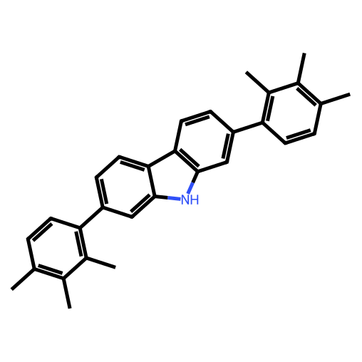 Cc1ccc(-c2ccc3c(c2)[nH]c2cc(-c4ccc(C)c(C)c4C)ccc23)c(C)c1C